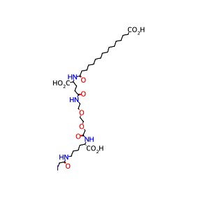 O=C(O)CCCCCCCCCCCCCCC(=O)NC(CCC(=O)NCCOCCOCC(=O)N[C@@H](CCCCNC(=O)CI)C(=O)O)C(=O)O